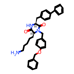 NCCCCC[C@H]1C(=O)N[C@@H](Cc2ccc(-c3ccccc3)cc2)C(=O)N1Cc1ccc(OCc2ccccc2)cc1